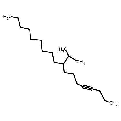 [CH2]CCC#CCCCC(CCCCCCCC[CH2])C(C)C